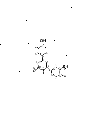 Cc1ccc(-c2cc(-c3ccc(O)cc3)cc(=O)[nH]2)cc1O